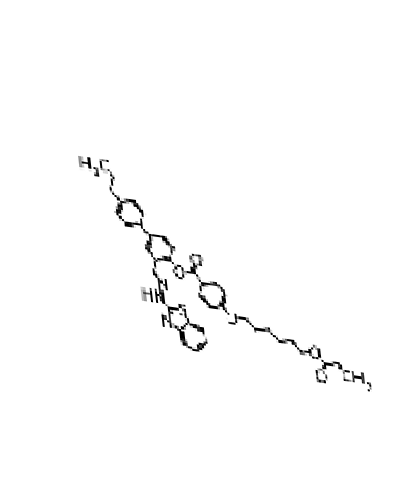 C=CC(=O)OCCCCCCOc1ccc(C(=O)Oc2ccc(-c3ccc(CCC)cc3)cc2/C=N/Nc2nc3ccccc3s2)cc1